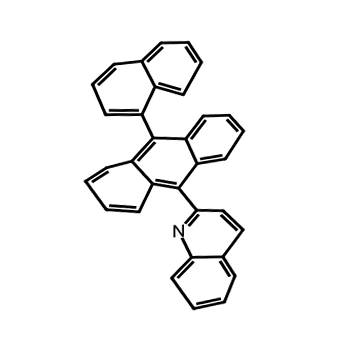 c1ccc2nc(-c3c4ccccc4c(-c4cccc5ccccc45)c4ccccc34)ccc2c1